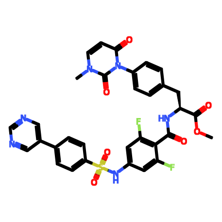 COC(=O)[C@H](Cc1ccc(-n2c(=O)ccn(C)c2=O)cc1)NC(=O)c1c(F)cc(NS(=O)(=O)c2ccc(-c3cncnc3)cc2)cc1F